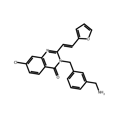 NCc1cccc(Cn2c(C=Cc3ccco3)nc3cc(Cl)ccc3c2=O)c1